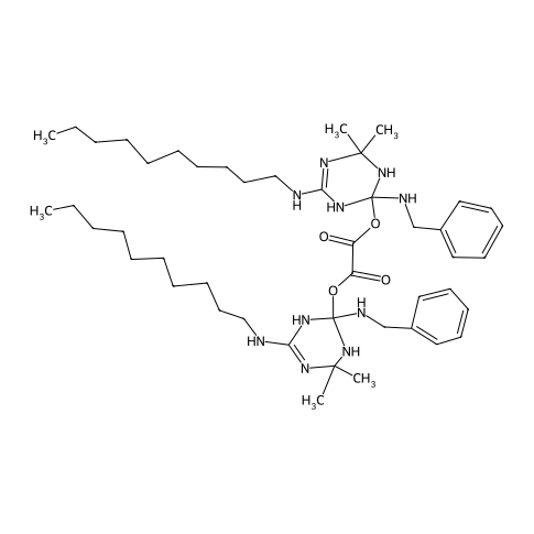 CCCCCCCCCCNC1=NC(C)(C)NC(NCc2ccccc2)(OC(=O)C(=O)OC2(NCc3ccccc3)NC(NCCCCCCCCCC)=NC(C)(C)N2)N1